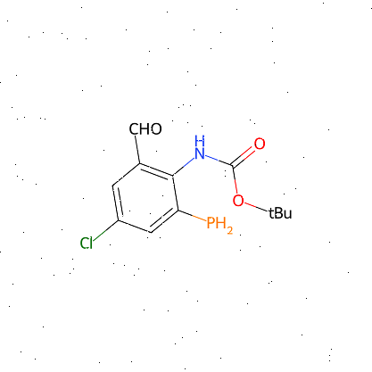 CC(C)(C)OC(=O)Nc1c(P)cc(Cl)cc1C=O